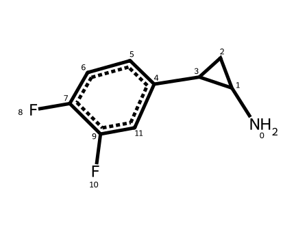 NC1CC1c1ccc(F)c(F)c1